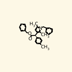 Cc1ccc([C@@H](C(=O)OCc2ccccc2)c2cc(C)n(Cc3ccccc3)c2C)cc1